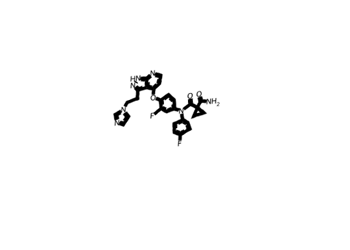 NC(=O)C1(C(=O)N(c2ccc(F)cc2)c2ccc(Oc3ccnc4[nH]nc(CCn5ccnc5)c34)c(F)c2)CC1